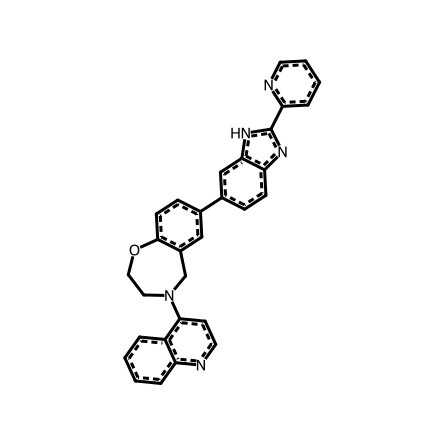 c1ccc(-c2nc3ccc(-c4ccc5c(c4)CN(c4ccnc6ccccc46)CCO5)cc3[nH]2)nc1